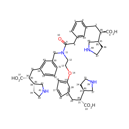 O=C(O)[C@H](Cc1cccc(CC(=O)N(CCOc2cccc(C[C@@H](C(=O)O)[C@H]3CCNC3)c2)Cc2cccc(C[C@@H](C(=O)O)[C@H]3CCNC3)c2)c1)[C@H]1CCNC1